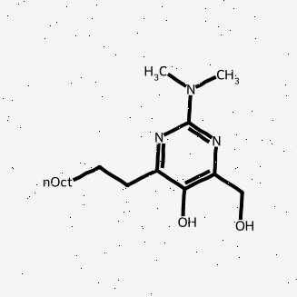 CCCCCCCCCCc1nc(N(C)C)nc(CO)c1O